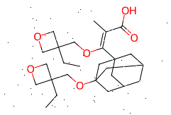 CCC1(COC(=C(C)C(=O)O)C23CC4CC(CC(OCC5(CC)COC5)(C4)C2)C3)COC1